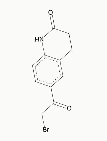 O=C1CCc2cc(C(=O)CBr)ccc2N1